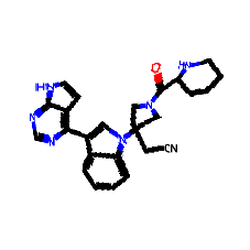 N#CCC1(n2cc(-c3ncnc4[nH]ccc34)c3ccccc32)CN(C(=O)C2CCCCN2)C1